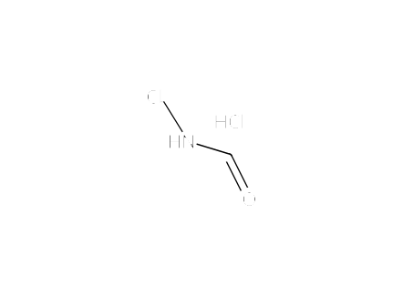 Cl.O=CNCl